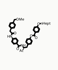 CCCCCCCOc1ccc(C(=O)Oc2ccc(C[C@H](NC(=O)c3ccc(NC(=O)Cc4ccc(COC)cc4)cc3)C(C)=O)cc2)cc1